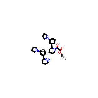 O=C(OCC(F)(F)F)C(=O)N1CCCCC1c1cccc(N2CCCC2)c1.c1cc(C2CCCCN2)cc(N2CCCC2)c1